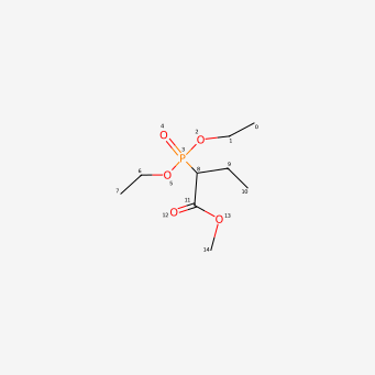 CCOP(=O)(OCC)C(CC)C(=O)OC